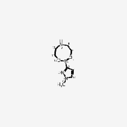 Cn1ncc(B2OCCNCCO2)n1